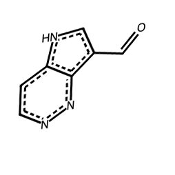 O=Cc1c[nH]c2ccnnc12